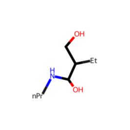 CCCNC(O)C(CC)CO